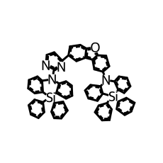 c1ccc([Si]2(c3ccccc3)c3ccccc3N(c3ccc4oc5ccc(-c6ccnc(N7c8ccccc8[Si](c8ccccc8)(c8ccccc8)c8ccccc87)n6)cc5c4c3)c3ccccc32)cc1